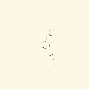 CCCOc1cc(NC(=O)NC(CC)CC)ccc1Oc1cnc(NC)s1